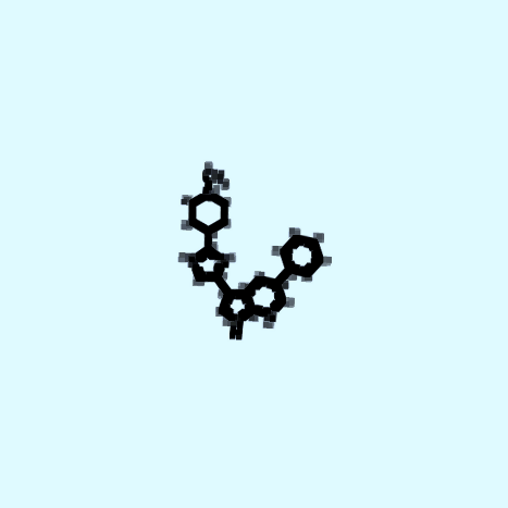 CN1CCC(c2nc(-c3c[nH]c4ncc(-c5ccccc5)cc34)cs2)CC1